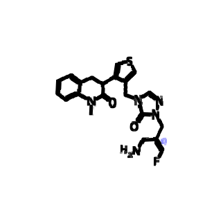 CN1C(=O)C(c2cscc2Cn2cnn(C/C(=C/F)CN)c2=O)Cc2ccccc21